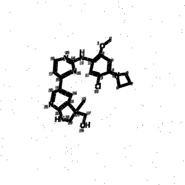 COc1cc(N2CCC2)c(Cl)cc1Nc1nccc(-c2cnc3c(c2)C(C)(CO)CN3)n1